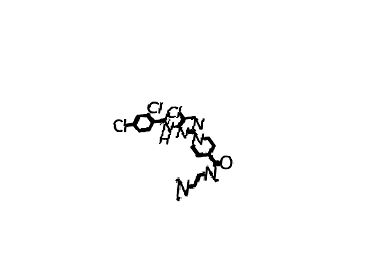 C[C@@H](Nc1nc(N2CCC(C(=O)N(C)CCN(C)C)CC2)ncc1Cl)c1ccc(Cl)cc1Cl